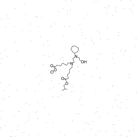 CC(C)COC(=O)CCCCCN(CCCCCC(=O)OCl)CCN(CCO)C1CCCCCC1